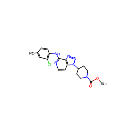 CC(C)(C)OC(=O)N1CCC(n2nnc3c(Nc4ccc(C#N)cc4Cl)nccc32)CC1